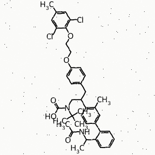 CC(=O)NC(C)c1ccccc1-c1ccc(C(Cc2ccc(OCCOc3c(Cl)cc(C)cc3Cl)cc2)CN(C(=O)O)C(C)(C)C)c(C)c1